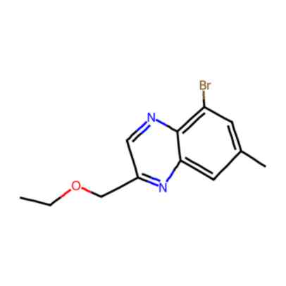 CCOCc1cnc2c(Br)cc(C)cc2n1